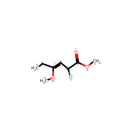 CC/C(=C/C(Cl)C(=O)OC)OC